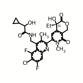 CC[C@@]1(O)C(=O)OCc2c1cc(-c1nc3cc(F)c(Cl)c(F)c3c(CNC(=O)C(O)C3CC3)c1C)n(C)c2=O